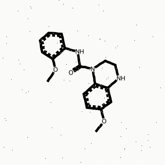 COc1ccc2c(c1)NCCN2C(=O)Nc1ccccc1OC